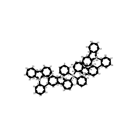 c1ccc([Si](c2ccccc2)(c2cccc3c2oc2ccc(-c4ccccc4-n4c5ccccc5c5ccccc54)cc23)c2cccc3c2oc2ccc(-c4ccccc4-n4c5ccccc5c5ccccc54)cc23)cc1